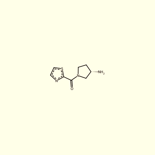 N[C@H]1CCN(C(=O)c2nccs2)C1